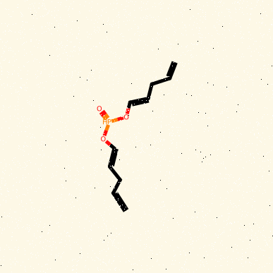 C=CCC=CO[PH](=O)OC=CCC=C